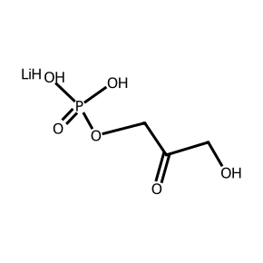 O=C(CO)COP(=O)(O)O.[LiH]